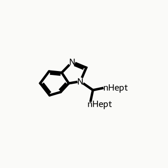 CCCCCCCC(CCCCCCC)n1cnc2ccccc21